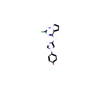 COc1ccc(-n2cnc(Nc3nc(Cl)nn4cccc34)c2)cc1